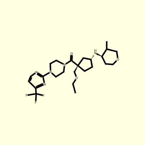 CCOC[C@]1(C(=O)N2CCN(c3nccc(C(F)(F)F)n3)CC2)CC[C@@H](N[C@@H]2CCOCC2C)C1